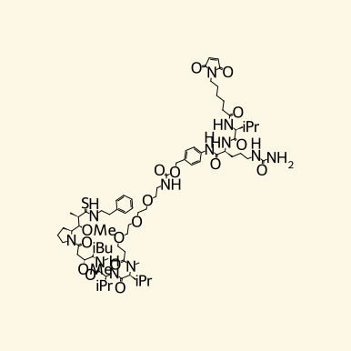 CC[C@H](C)[C@@H]([C@@H](CC(=O)N1CCC[C@H]1[C@H](OC)[C@@H](C)C(=S)NCCc1ccccc1)OC)N(C)C(=O)[C@@H](NC(=O)[C@H](C(C)C)N(C)C(=O)CCOCCOCCOCCNC(=O)OCc1ccc(NC(=O)[C@H](CCCNC(N)=O)NC(=O)[C@@H](NC(=O)CCCCCN2C(=O)C=CC2=O)C(C)C)cc1)C(C)C